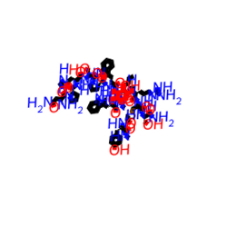 CCCC[C@@H](C(=O)N(C)[C@@H](CCCC)C(=O)N[C@@H](CCCNC(=N)N)C(=O)NC(CSCC(=O)N[C@@H](Cc1ccc(O)cc1)C(=O)NC)C(=O)N[C@@H](CO)C(N)=O)N(C)C(=O)[C@H](Cc1c[nH]c2ccccc12)NC(=O)[C@H](CO)NC(=O)[C@H](Cc1c[nH]c2ccccc12)NC(=O)[C@@H]1CCCN1C(=O)[C@H](CO)NC(=O)[C@H](Cc1cnc[nH]1)NC(=O)[C@@H]1CCCN1C(=O)[C@@H](N)CC(N)=O